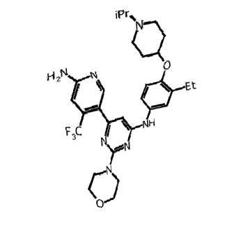 CCc1cc(Nc2cc(-c3cnc(N)cc3C(F)(F)F)nc(N3CCOCC3)n2)ccc1OC1CCN(C(C)C)CC1